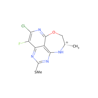 CSc1nc2c3c(nc(Cl)c(F)c3n1)OC[C@H](C)N2